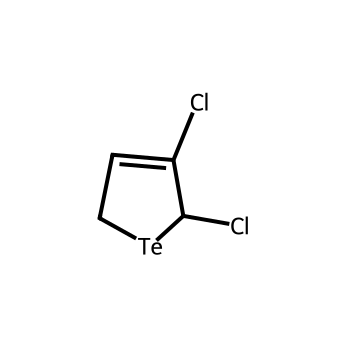 ClC1=CC[Te]C1Cl